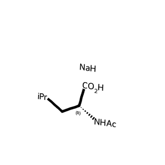 CC(=O)N[C@H](CC(C)C)C(=O)O.[NaH]